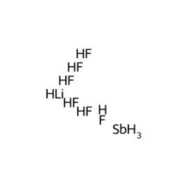 F.F.F.F.F.F.[LiH].[SbH3]